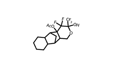 CC(=O)OC12C(COC(O)(C(F)(F)F)C1(F)F)C1CC2C2CCCCC12